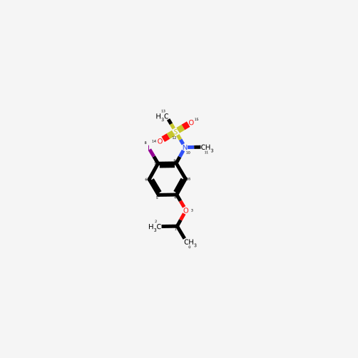 CC(C)Oc1ccc(I)c(N(C)S(C)(=O)=O)c1